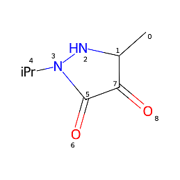 CC1NN(C(C)C)C(=O)C1=O